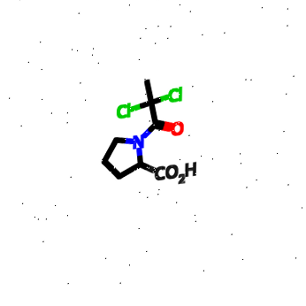 CC(Cl)(Cl)C(=O)N1CCCC1C(=O)O